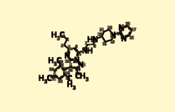 CCCc1cc(NCCNC2CCN(c3ncccn3)CC2)n2nc(C)c(-c3c(C)cc(C)cc3C)c2n1